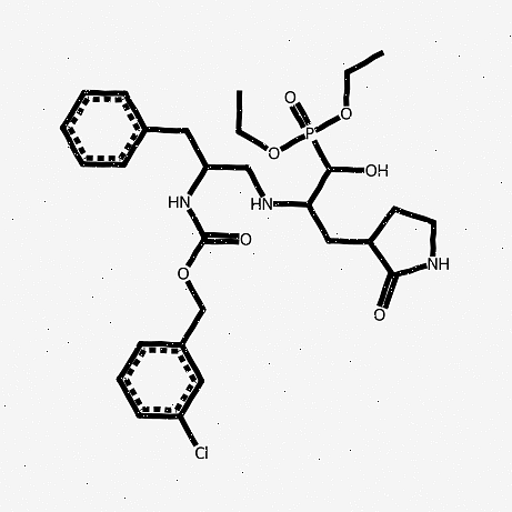 CCOP(=O)(OCC)C(O)C(CC1CCNC1=O)NCC(Cc1ccccc1)NC(=O)OCc1cccc(Cl)c1